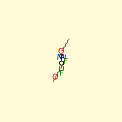 CCCCCCCOc1cnc(-c2ccc(OCC(F)CCOCCC)cc2F)nc1